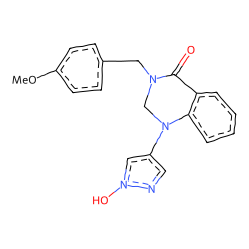 COc1ccc(CN2CN(c3cnn(O)c3)c3ccccc3C2=O)cc1